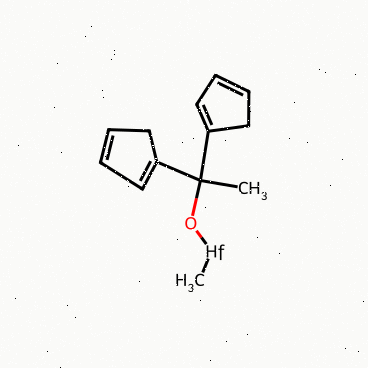 [CH3][Hf][O]C(C)(C1=CC=CC1)C1=CC=CC1